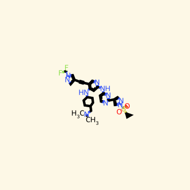 CN(C)CC1CCC(Nc2cc(Nc3ccnc(-c4cnn(S(=O)(=O)C5CC5)c4)n3)ncc2C#Cc2cnn(C(F)F)c2)CC1